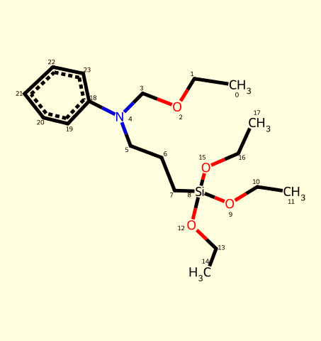 CCOCN(CCC[Si](OCC)(OCC)OCC)c1ccccc1